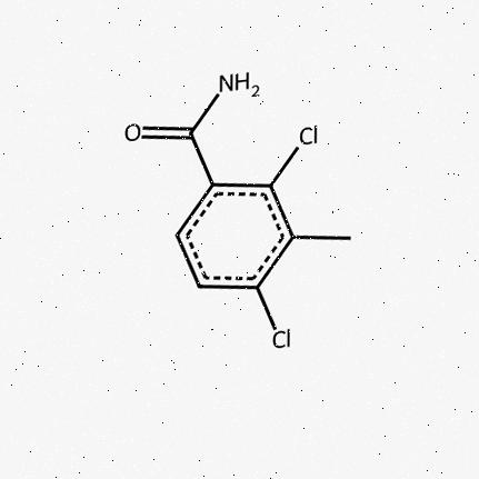 Cc1c(Cl)ccc(C(N)=O)c1Cl